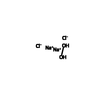 OO.[Cl-].[Cl-].[Na+].[Na+]